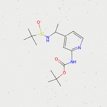 CC(N[S+]([O-])C(C)(C)C)c1ccnc(NC(=O)OC(C)(C)C)c1